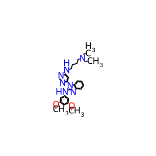 CCN(CC)CCCCNc1cc(-n2c(Nc3cc(OC)cc(OC)c3)nc3ccccc32)ncn1